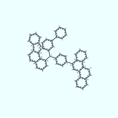 c1ccc(-c2cccc(N(c3ccc(-c4cc5c6ccccc6ccc5c5ccccc45)cc3)c3cccc4ccc5c6ccccc6sc5c34)c2)cc1